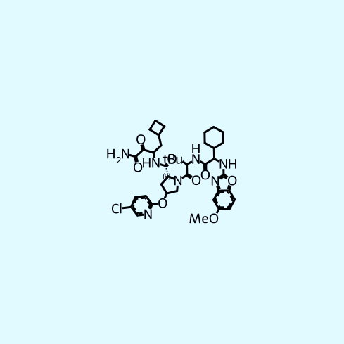 COc1ccc2oc(NC(C(=O)NC(C(=O)N3CC(Oc4ccc(Cl)cn4)C[C@@H]3C(=O)NC(CC3CCC3)C(=O)C(N)=O)C(C)(C)C)C3CCCCC3)nc2c1